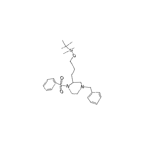 CC(C)(C)[Si](C)(C)OCCCC1CN(Cc2ccccc2)CCN1S(=O)(=O)c1ccccc1